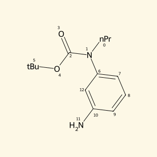 CCCN(C(=O)OC(C)(C)C)c1cccc(N)c1